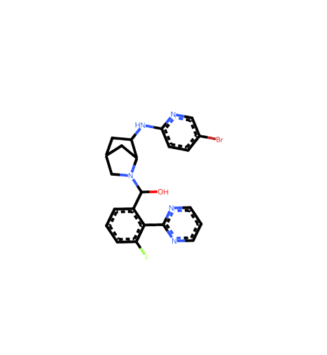 OC(c1cccc(F)c1-c1ncccn1)N1CC2CC(Nc3ccc(Br)cn3)C1C2